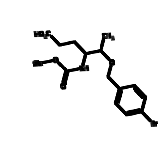 CC(OCc1ccc(Br)cc1)C(CCC(=O)O)NC(=O)OC(C)(C)C